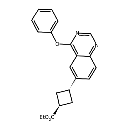 CCOC(=O)[C@H]1C[C@H](c2ccc3ncnc(Oc4ccccc4)c3c2)C1